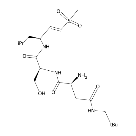 CC(C)C[C@@H](/C=C/S(C)(=O)=O)NC(=O)[C@H](CO)NC(=O)[C@@H](N)CC(=O)NCC(C)(C)C